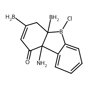 BC1=CC(=O)C2(N)c3ccccc3B(Cl)C2(B)C1